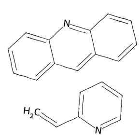 C=Cc1ccccn1.c1ccc2nc3ccccc3cc2c1